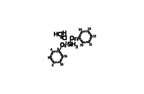 Cl.Cl.c1ccc(O[SiH2]Oc2ccccc2)cc1